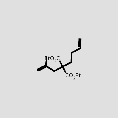 C=CCCC(CC(=C)C)(C(=O)OCC)C(=O)OCC